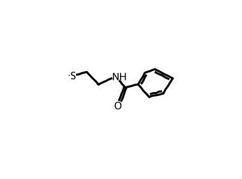 O=C(NCC[S])c1ccccc1